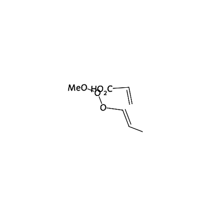 C=CC(=O)O.CC=COOOC